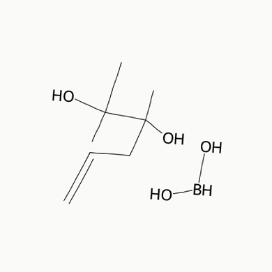 C=CCC(C)(O)C(C)(C)O.OBO